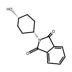 O=C1c2ccccc2C(=O)N1[C@H]1CC[C@@H](O)CC1